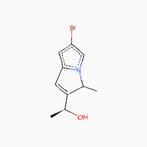 CC1C([C@H](C)O)=Cc2cc(Br)cn21